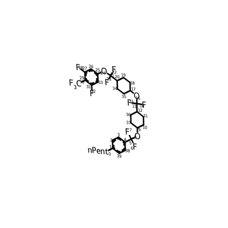 CCCCCc1ccc(C(F)(F)OC2CCC(C(F)(F)OC3CCC(C(F)(F)Oc4cc(F)c(C(F)(F)F)c(F)c4)CC3)CC2)cc1